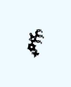 CCC(C)N1C(=O)O[C@H](c2cccc(OC(F)(F)F)c2)[C@@H]1C